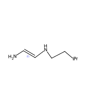 CC(C)CCN/C=C/N